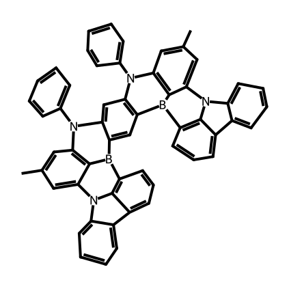 Cc1cc2c3c(c1)-n1c4ccccc4c4cccc(c41)B3c1cc3c(cc1N2c1ccccc1)N(c1ccccc1)c1cc(C)cc2c1B3c1cccc3c4ccccc4n-2c13